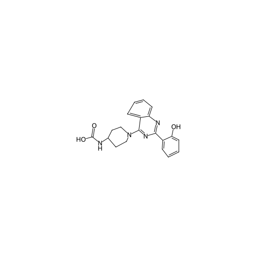 O=C(O)NC1CCN(c2nc(-c3ccccc3O)nc3ccccc23)CC1